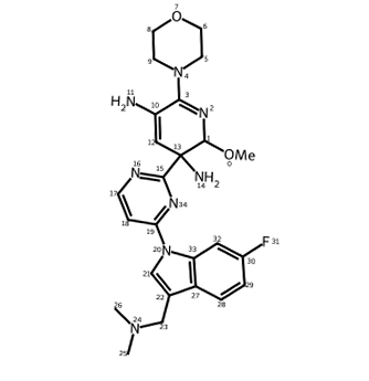 COC1N=C(N2CCOCC2)C(N)=CC1(N)c1nccc(-n2cc(CN(C)C)c3ccc(F)cc32)n1